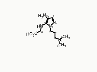 CN(C)CCCn1ncc(N)c1NCC(=O)O